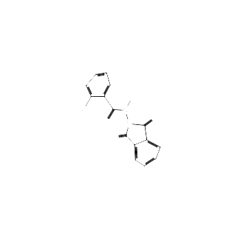 CN(C(=O)c1ccccc1Br)N1C(=O)c2ccccc2C1=O